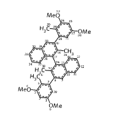 COc1cc(OC)c(C)c(-c2cc3ccccc3c(-c3c(C)c(-c4cc(OC)cc(OC)c4C)cc4ccccc34)c2C)c1